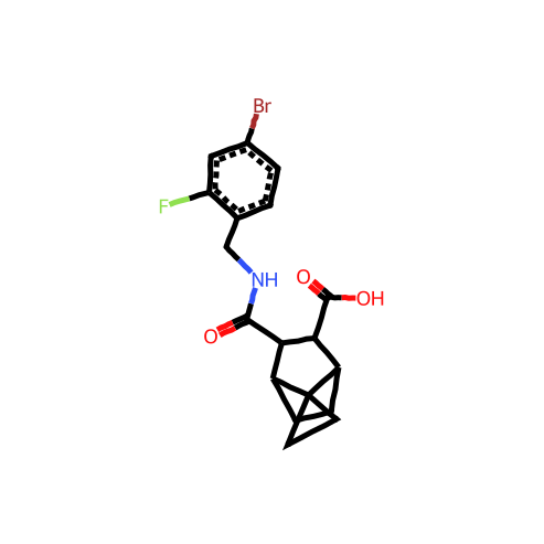 O=C(O)C1C(C(=O)NCc2ccc(Br)cc2F)C2CCC1C21CC1